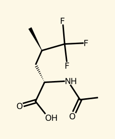 CC(=O)N[C@@H](C[C@@H](C)C(F)(F)F)C(=O)O